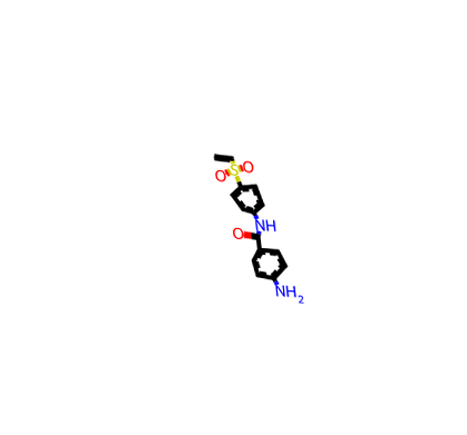 C=CS(=O)(=O)c1ccc(NC(=O)c2ccc(N)cc2)cc1